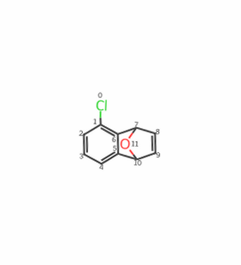 Clc1cccc2c1C1C=CC2O1